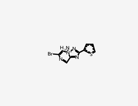 N[N+]12C=C(Br)N=CC1=NC(c1cccs1)=N2